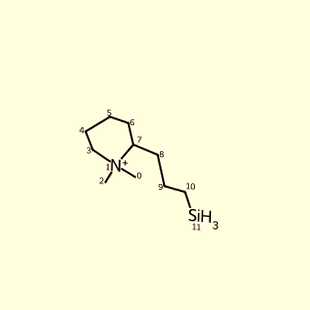 C[N+]1(C)CCCCC1CCC[SiH3]